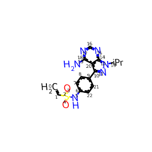 C=CS(=O)(=O)Nc1ccc(-c2nn(C(C)C)c3ncnc(N)c23)cc1